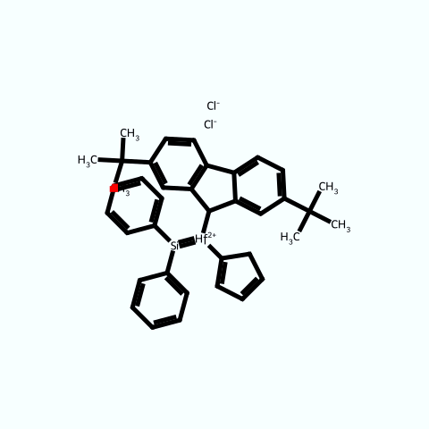 CC(C)(C)c1ccc2c(c1)[CH]([Hf+2]([C]1=CC=CC1)=[Si](c1ccccc1)c1ccccc1)c1cc(C(C)(C)C)ccc1-2.[Cl-].[Cl-]